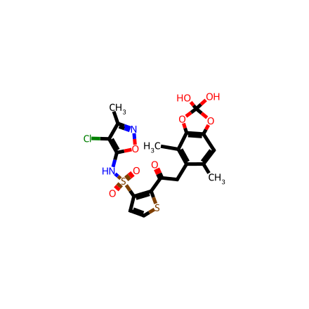 Cc1cc2c(c(C)c1CC(=O)c1sccc1S(=O)(=O)Nc1onc(C)c1Cl)OC(O)(O)O2